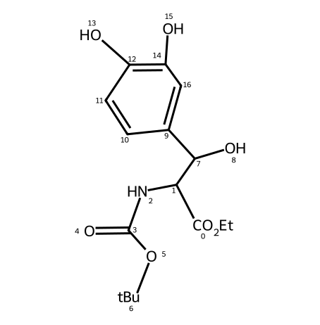 CCOC(=O)C(NC(=O)OC(C)(C)C)C(O)c1ccc(O)c(O)c1